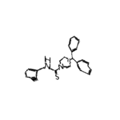 S=C(Nc1ccccc1)N1CCN(C(c2ccccc2)c2ccccc2)CC1